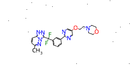 Cc1ccc2nnc(C(F)(F)c3cccc(-c4ncc(OCCN5CCOCC5)cn4)c3)n2n1